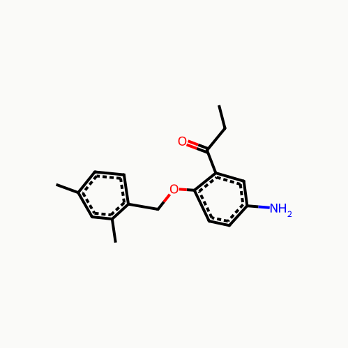 CCC(=O)c1cc(N)ccc1OCc1ccc(C)cc1C